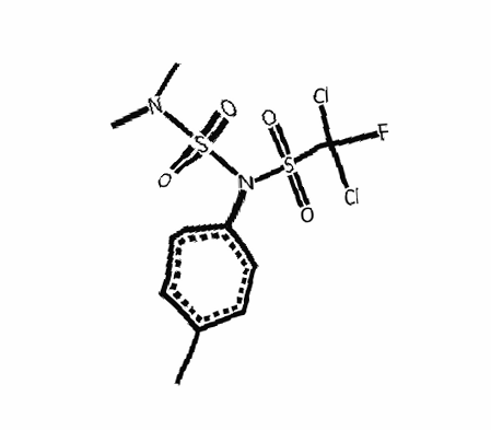 Cc1ccc(N(S(=O)(=O)N(C)C)S(=O)(=O)C(F)(Cl)Cl)cc1